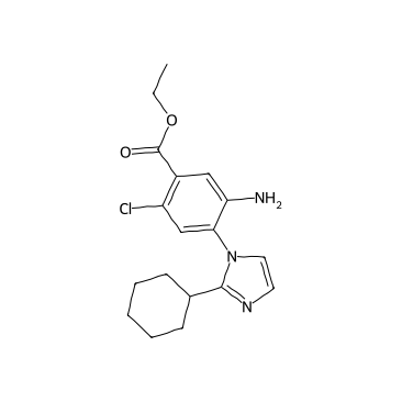 CCOC(=O)c1cc(N)c(-n2ccnc2C2CCCCC2)cc1Cl